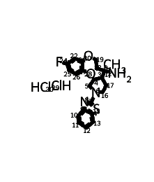 CC(N)(C1CCN(c2nc3ccccc3s2)CC1)C1COc2cc(F)ccc2O1.Cl.Cl